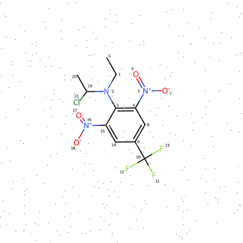 CCN(c1c([N+](=O)[O-])cc(C(F)(F)F)cc1[N+](=O)[O-])C(C)Cl